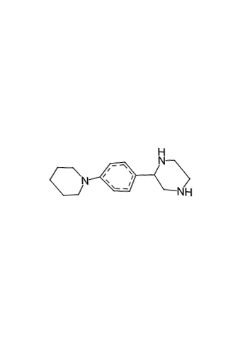 c1cc(N2CCCCC2)ccc1C1CNCCN1